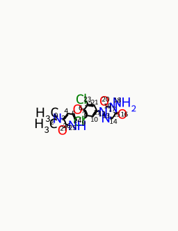 CN(C)c1cc(Oc2c(Cl)cc(-n3ncc(=O)n(N)c3=O)cc2Cl)c[nH]c1=O